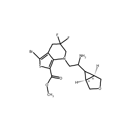 COC(=O)c1sc(Br)c2c1N(CC(N)C1[C@H]3COC[C@@H]13)CC(F)(F)C2